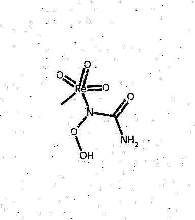 [CH3][Re](=[O])(=[O])(=[O])[N](OO)C(N)=O